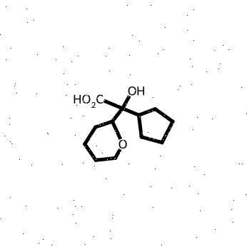 O=C(O)C(O)(C1CCCC1)C1CCCCO1